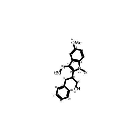 COc1ccc2c(c1)c(SC(C)(C)C)c(C(CC#N)Cc1ccccc1)n2C